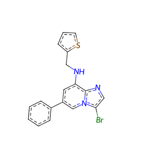 Brc1cnc2c(NCc3cccs3)cc(-c3ccccc3)cn12